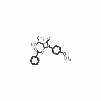 COc1ccc(N2C(=O)[C@H]([C@@H](C)O)[C@H]2OC(=O)c2ccccc2)cc1